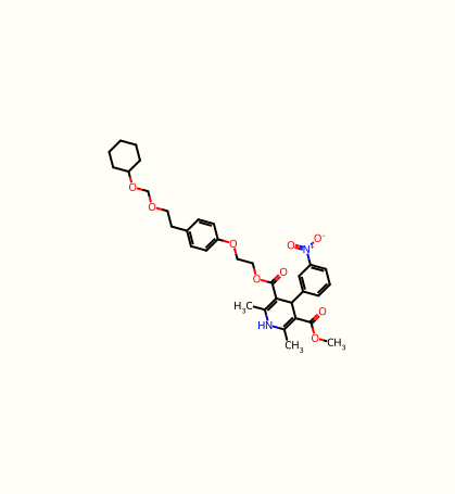 COC(=O)C1=C(C)NC(C)=C(C(=O)OCCOc2ccc(CCOCOC3CCCCC3)cc2)C1c1cccc([N+](=O)[O-])c1